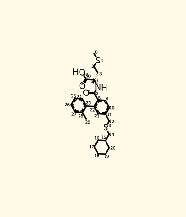 CSCC[C@H](NC(=O)c1ccc(CSCC2CCCCC2)cc1-c1ccccc1C)C(=O)O